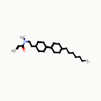 C=CC(=O)N(C)CCC1CCC(C2CCC(CCCCCCC(F)(F)F)CC2)CC1